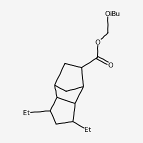 CCC1CC(CC)C2C3CC(CC3C(=O)OCOCC(C)C)C12